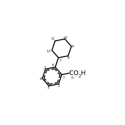 O=C(O)c1ccc[c]c1C1CCCCC1